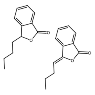 CCCC=C1OC(=O)c2ccccc21.CCCCC1OC(=O)c2ccccc21